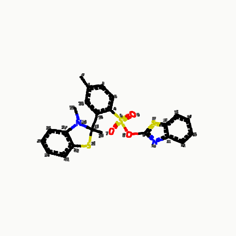 Cc1ccc(S(=O)(=O)Oc2nc3ccccc3s2)c(C2(C)Sc3ccccc3N2C)c1